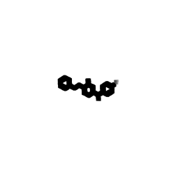 C=C1C=C(C(C)c2ccc(F)cc2)CC=C1CCc1ccccc1